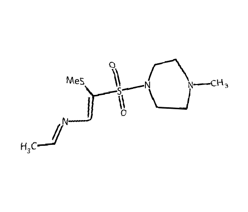 C/C=N/C=C(\SC)S(=O)(=O)N1CCN(C)CC1